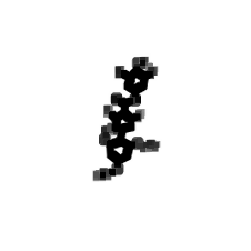 CCCOc1cc(OCCC)c(-c2cc(F)c(C(=O)Oc3cc(F)c(C(F)(F)F)c(F)c3)c(F)c2)c(OCCC)c1